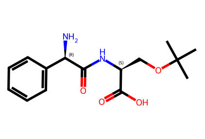 CC(C)(C)OC[C@H](NC(=O)[C@H](N)c1ccccc1)C(=O)O